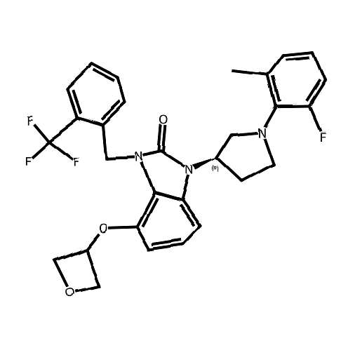 Cc1cccc(F)c1N1CC[C@@H](n2c(=O)n(Cc3ccccc3C(F)(F)F)c3c(OC4COC4)cccc32)C1